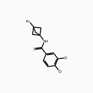 CC(=O)C12CC(NC(=S)c3ccc(Cl)c(Cl)c3)(C1)C2